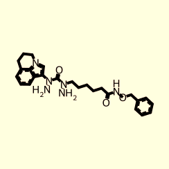 NN(CCCCCC(=O)NOCc1ccccc1)C(=O)N(N)c1cn2c3c(cccc13)CCC2